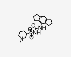 CN1CCCC(S(=O)(=O)NC(=O)Nc2c3c(cc4c2CCC4)CCC3)C1